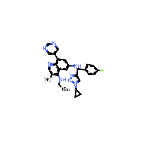 CC(C)(C)CNc1c(C#N)cnc2c(-c3cncnc3)cc(NC(c3ccc(F)cc3)c3cn(C4CC4)nn3)cc12